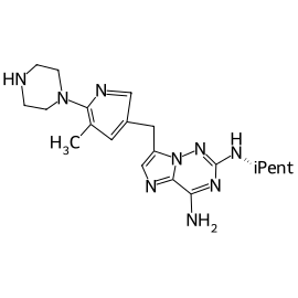 CCC[C@@H](C)Nc1nc(N)c2ncc(Cc3cnc(N4CCNCC4)c(C)c3)n2n1